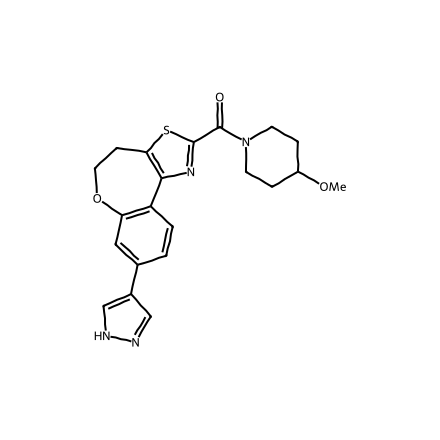 COC1CCN(C(=O)c2nc3c(s2)CCOc2cc(-c4cn[nH]c4)ccc2-3)CC1